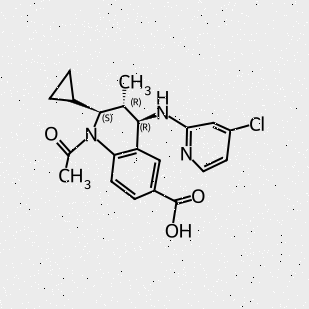 CC(=O)N1c2ccc(C(=O)O)cc2[C@H](Nc2cc(Cl)ccn2)[C@@H](C)[C@@H]1C1CC1